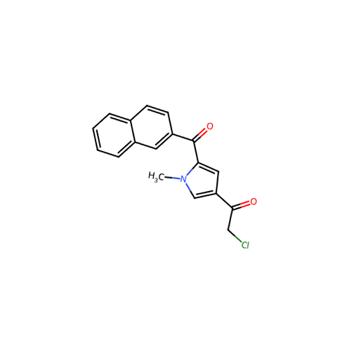 Cn1cc(C(=O)CCl)cc1C(=O)c1ccc2ccccc2c1